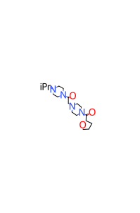 CC(C)N1CCN(C(=O)CN2CCN(C(=O)C3CCCO3)CC2)CC1